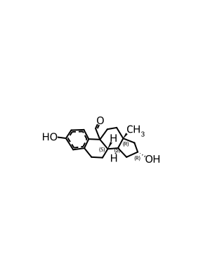 C[C@]12CCC3(C=O)c4ccc(O)cc4CC[C@H]3[C@@H]1C[C@@H](O)C2